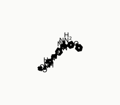 CC(C)(C)OC(=O)N1C[C@H]2CC(N3CC(N4CCC(n5nc(-c6ccc(Oc7ccccc7)cc6)c6c(N)ncnc65)CC4)C3)C[C@H]2C1